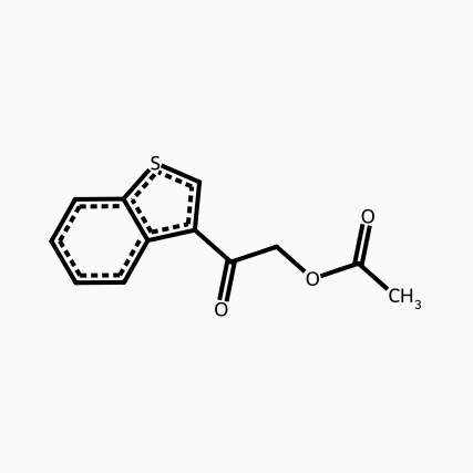 CC(=O)OCC(=O)c1csc2ccccc12